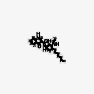 CCCCCCCc1ccc(NC(O)c2c[nH]c3ccccc3c2=O)cc1NCC